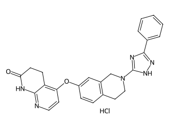 Cl.O=C1CCc2c(Oc3ccc4c(c3)CN(c3nc(-c5ccccc5)n[nH]3)CC4)ccnc2N1